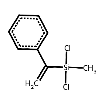 C=C(c1ccccc1)[Si](C)(Cl)Cl